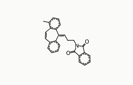 Cc1cccc2c1C=Cc1ccccc1C2=CCCN1C(=O)c2ccccc2C1=O